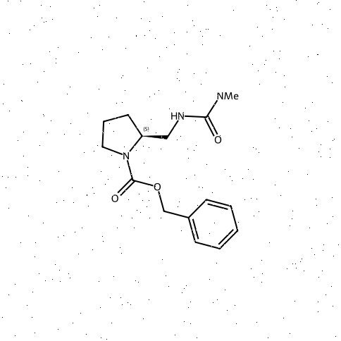 CNC(=O)NC[C@@H]1CCCN1C(=O)OCc1ccccc1